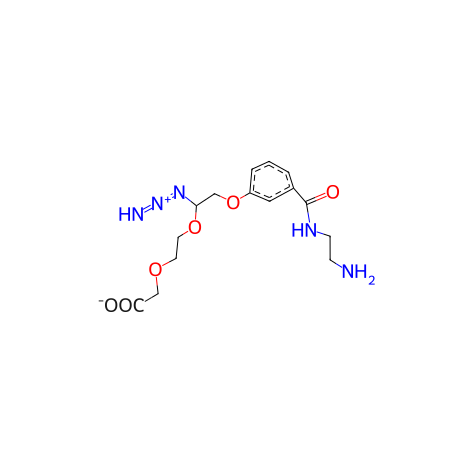 N=[N+]=NC(COc1cccc(C(=O)NCCN)c1)OCCOCC(=O)[O-]